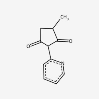 CC1CC(=O)C(c2ccccn2)C1=O